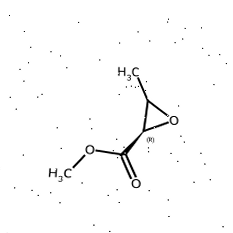 COC(=O)[C@@H]1OC1C